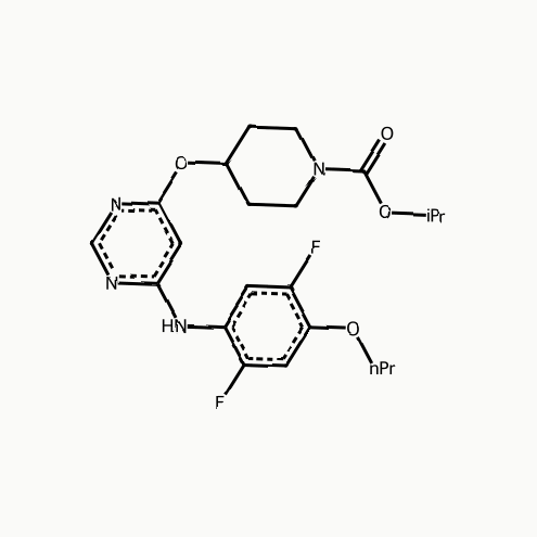 CCCOc1cc(F)c(Nc2cc(OC3CCN(C(=O)OC(C)C)CC3)ncn2)cc1F